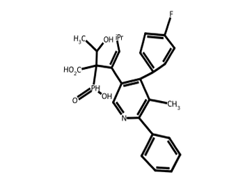 Cc1c(-c2ccccc2)ncc(C(=CC(C)C)C(C(=O)O)(C(C)O)[PH](=O)O)c1-c1ccc(F)cc1